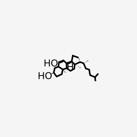 CC(C)CCC[C@@H](C)[C@H]1CCC2=C3C=C[C@@]4(O)C[C@@H](O)CC[C@]4(C)[C@H]3CC[C@@]21C